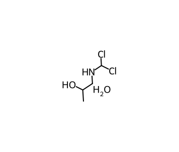 CC(O)CNC(Cl)Cl.O